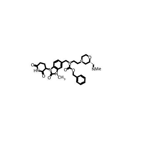 CNC[C@@H]1CN(CCN(Cc2ccc3c(c2)n(C)c(=O)n3C2CCC(=O)NC2=O)C(=O)OCc2ccccc2)CCO1